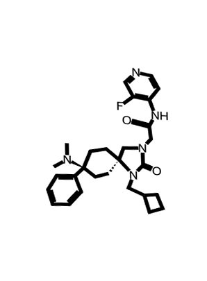 CN(C)[C@]1(c2ccccc2)CC[C@]2(CC1)CN(CC(=O)Nc1ccncc1F)C(=O)N2CC1CCC1